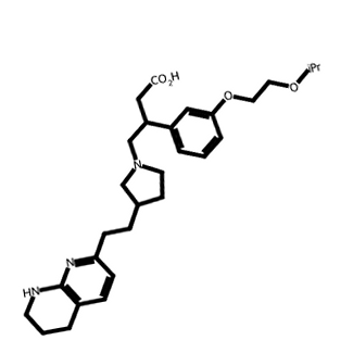 CC(C)OCCOc1cccc(C(CC(=O)O)CN2CCC(CCc3ccc4c(n3)NCCC4)C2)c1